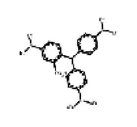 CCCCN(CCCC)c1ccc(C(c2ccc(N(CC)CC)cc2)c2ccc(N(CC)CC)cc2C(=O)O)cc1